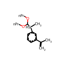 C=C(C)c1cccc([SiH](C)C(OCCC)OCCC)c1